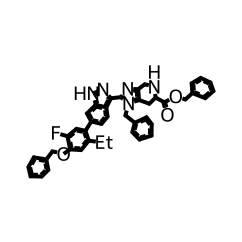 CCc1cc(OCc2ccccc2)c(F)cc1-c1ccc2c(-c3nc4c(n3Cc3ccccc3)CC(C(=O)OCc3ccccc3)NC4)n[nH]c2c1